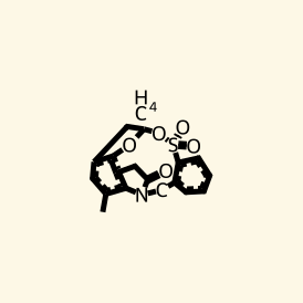 C.Cc1cc2c3c4c1N(Cc1ccccc1S(=O)(=O)OC(C2)O3)C(=O)C4